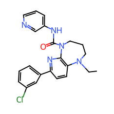 CCN1CCCN(C(=O)Nc2cccnc2)c2nc(-c3cccc(Cl)c3)ccc21